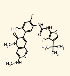 CNc1cc2c(cn1)cc(-c1cc(NC(=O)Nc3scc(C(C)(C)C)c3F)c(F)cc1C)c(=O)n2C